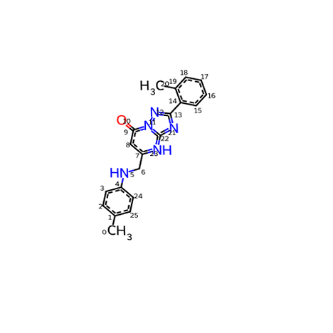 Cc1ccc(NCc2cc(=O)n3nc(-c4ccccc4C)nc3[nH]2)cc1